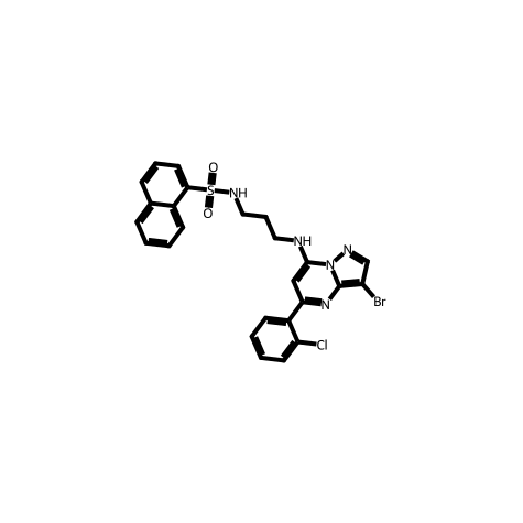 O=S(=O)(NCCCNc1cc(-c2ccccc2Cl)nc2c(Br)cnn12)c1cccc2ccccc12